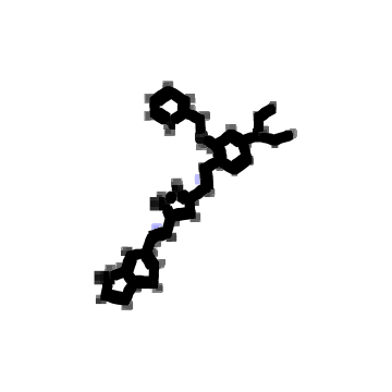 CCN(CC)c1ccc(/C=C/c2cc(/C=C/c3ccc4cc[nH]c4c3)[nH]n2)c(OCc2ccccn2)c1